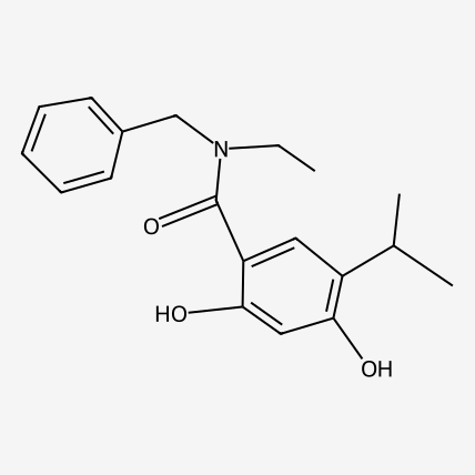 CCN(Cc1ccccc1)C(=O)c1cc(C(C)C)c(O)cc1O